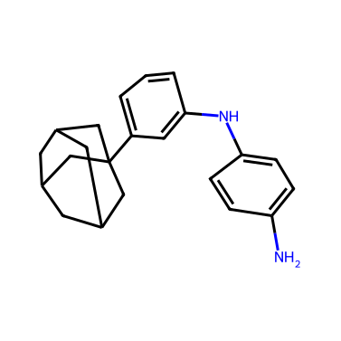 Nc1ccc(Nc2cccc(C34CC5CC(CC(C5)C3)C4)c2)cc1